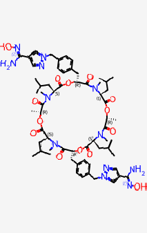 CC(C)C[C@H]1C(=O)O[C@H](Cc2ccc(Cn3cc(/C(N)=N/O)cn3)cc2)C(=O)N(C)[C@@H](CC(C)C)C(=O)O[C@H](C)C(=O)N(C)[C@@H](CC(C)C)C(=O)O[C@H](Cc2ccc(Cn3cc(/C(N)=N/O)cn3)cc2)C(=O)N(C)[C@@H](CC(C)C)C(=O)O[C@H](C)C(=O)N1C